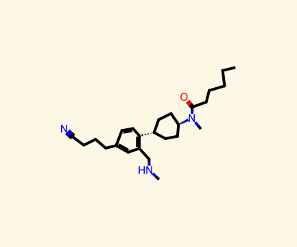 CCCCCC(=O)N(C)[C@H]1CC[C@H](c2ccc(CCCC#N)cc2CNC)CC1